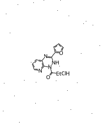 CCC(=O)N1NC(c2ccco2)=Nc2cccnc21.Cl